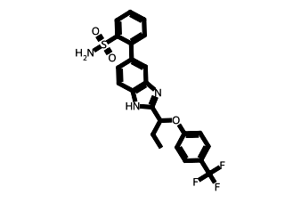 CCC(Oc1ccc(C(F)(F)F)cc1)c1nc2cc(-c3ccccc3S(N)(=O)=O)ccc2[nH]1